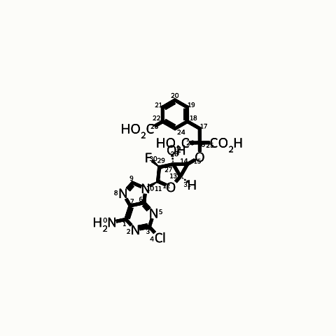 Nc1nc(Cl)nc2c1ncn2[C@@H]1O[C@@H]2C(OC(Cc3cccc(C(=O)O)c3)(C(=O)O)C(=O)O)[C@]2(O)[C@@H]1F